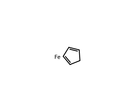 C1=CCC=C1.[Fe]